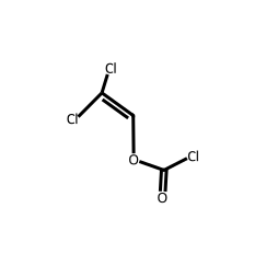 O=C(Cl)OC=C(Cl)Cl